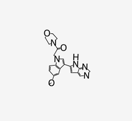 COc1ccc2c(c1)c(-c1cc3cncnc3[nH]1)cn2CC(=O)N1CCOCC1